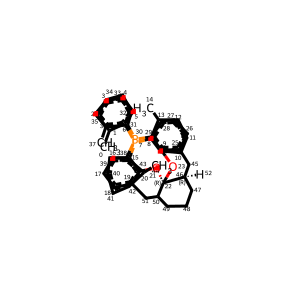 Cc1ccccc1P(c1ccccc1C)c1cccc2c1O[C@]13Oc4c(cccc4P(c4ccccc4C)c4ccccc4C)C[C@H]1CCCC3C2